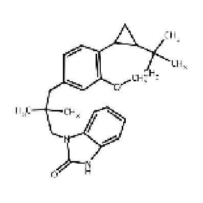 COc1cc(CC(C)(C)Cn2c(=O)[nH]c3ccccc32)ccc1C1CC1C(C)(C)C